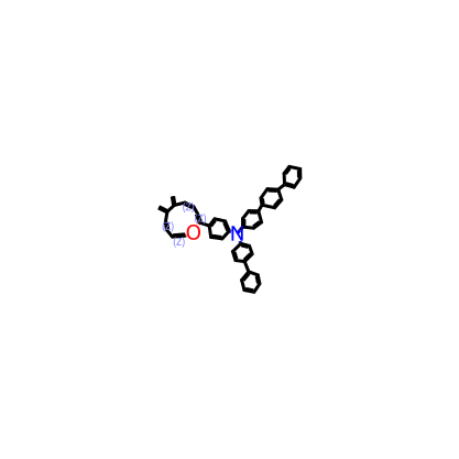 C=C1/C=C\C=C/O/C(c2ccc(N(c3ccc(-c4ccccc4)cc3)c3ccc(-c4ccc(-c5ccccc5)cc4)cc3)cc2)=C\C=C/C1=C